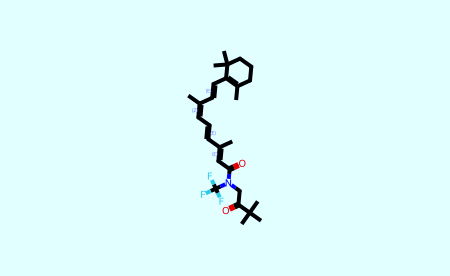 CC1=C(/C=C/C(C)=C\C=C\C(C)=C\C(=O)N(CC(=O)C(C)(C)C)C(F)(F)F)C(C)(C)CCC1